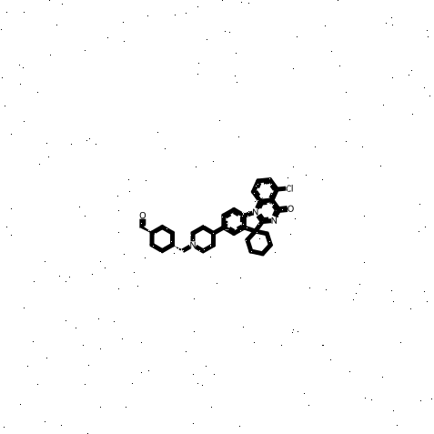 O=C[C@H]1CC[C@H](CN2CCC(c3ccc4c(c3)C3(CCCCC3)c3nc(=O)c5c(Cl)cccc5n3-4)CC2)CC1